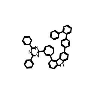 C1=CCC(c2cccc3oc4ccc(-c5ccc(-c6ccccc6-c6ccccc6)cc5)cc4c23)=CC(c2nc(-c3ccccc3)nc(C3C=CC=CC3)n2)=C1